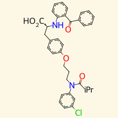 CC(C)C(=O)N(CCCOc1ccc(C[C@H](Nc2ccccc2C(=O)c2ccccc2)C(=O)O)cc1)c1cccc(Cl)c1